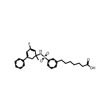 CC1(NS(=O)(=O)c2cccc(CCCCCCC(=O)O)c2)C=C(F)C=C(c2ccccc2)C1